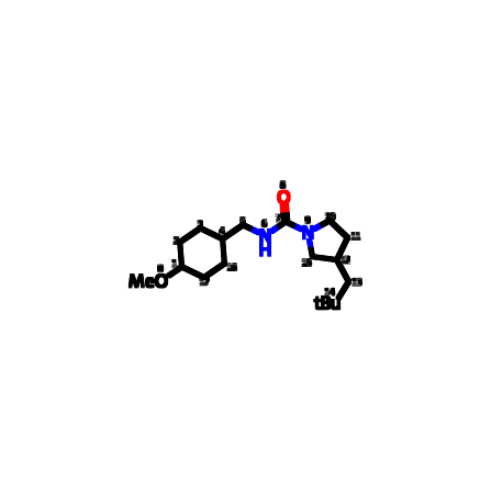 COC1CCC(CNC(=O)N2CCC(CC(C)(C)C)C2)CC1